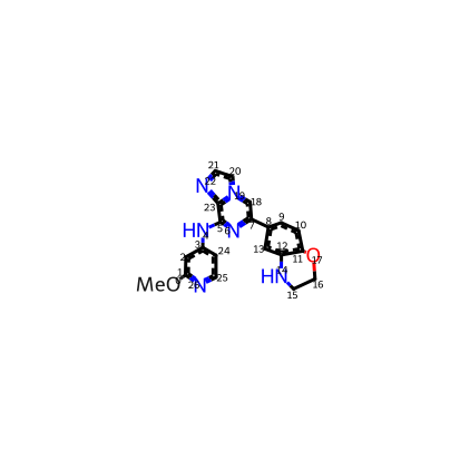 COc1cc(Nc2nc(-c3ccc4c(c3)NCCO4)cn3ccnc23)ccn1